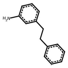 Nc1cccc(CCc2c[c]ccc2)c1